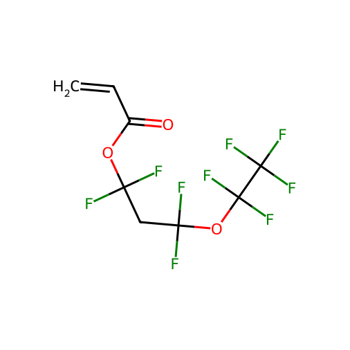 C=CC(=O)OC(F)(F)CC(F)(F)OC(F)(F)C(F)(F)F